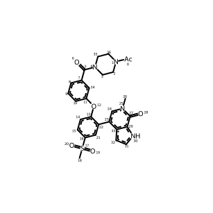 CC(=O)N1CCN(C(=O)c2cccc(Oc3ccc(S(C)(=O)=O)cc3-c3cn(C)c(=O)c4[nH]ccc34)c2)CC1